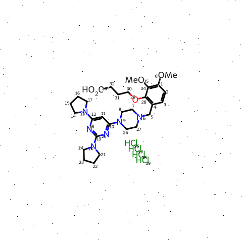 COc1ccc(CN2CCN(c3cc(N4CCCC4)nc(N4CCCC4)n3)CC2)c(OCCCC(=O)O)c1OC.Cl.Cl.Cl.Cl